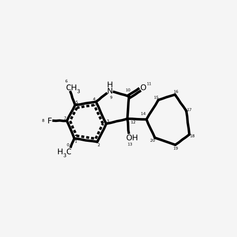 Cc1cc2c(c(C)c1F)NC(=O)C2(O)C1CCCCCC1